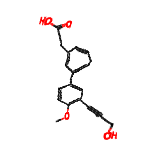 COc1ccc(-c2cccc(CC(=O)O)c2)cc1C#CCO